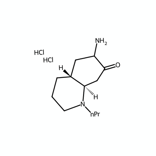 CCCN1CCC[C@@H]2CC(N)C(=O)C[C@H]21.Cl.Cl